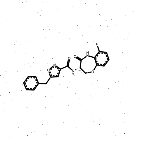 O=C(N[C@H]1COc2cccc(F)c2NC1=O)c1cc(Cc2ccccc2)on1